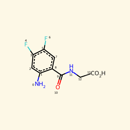 Nc1cc(F)c(F)cc1C(=O)NCC(=O)O